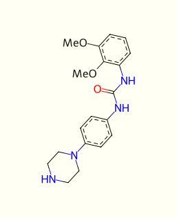 COc1cccc(NC(=O)Nc2ccc(N3CCNCC3)cc2)c1OC